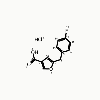 Cl.O=C(O)c1coc(Cc2ccc(F)cc2)c1